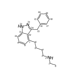 CCNCCCCc1cccc2[nH]nc(Cc3ccccc3)c12